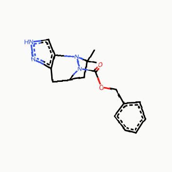 CC1(C)CC2Cc3n[nH]cc3N1N2C(=O)OCc1ccccc1